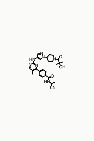 Cc1cnc(Nc2cnn(C3CCN(C(=O)C(C)(C)O)CC3)c2)nc1-c1ccc(C(=O)NC(C)C#N)cc1